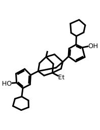 CCC12CC3(C)CC(c4ccc(O)c(C5CCCCC5)c4)(C1)CC(c1ccc(O)c(C4CCCCC4)c1)(C3)C2